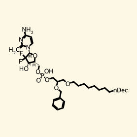 C=C1N=C(N)C=CN1[C@@H]1O[C@H](COP(=O)(O)OCC(COCCCCCCCCCCCCCCCCCC)OCc2ccccc2)[C@H](O)C1(F)F